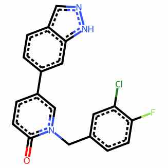 O=c1ccc(-c2ccc3cn[nH]c3c2)cn1Cc1ccc(F)c(Cl)c1